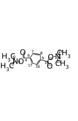 CN(C)OC(=O)c1ccc(C(=O)ON(C)C)cc1